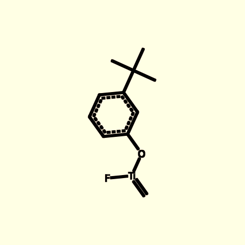 [CH2]=[Ti]([F])[O]c1cccc(C(C)(C)C)c1